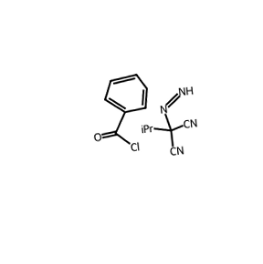 CC(C)C(C#N)(C#N)N=N.O=C(Cl)c1ccccc1